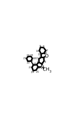 Cn1c2cc3oc4ccccc4c3cc2c2c(-c3ccccc3)cccc21